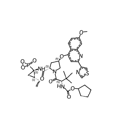 C=C[C@@H]1C[C@]1(NC(=O)[C@@H]1C[C@@H](Oc2cc(-c3cscn3)nc3cc(OC)ccc23)CN1C(=O)[C@@H](NC(=O)OC1CCCC1)C(C)(C)C)P1(=O)OO1